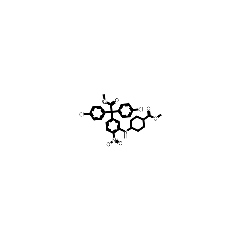 COC(=O)C1CCC(Nc2cc(C(C(=O)OC)(c3ccc(Cl)cc3)c3ccc(Cl)cc3)ccc2[N+](=O)[O-])CC1